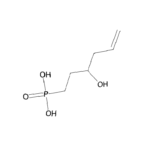 C=CCC(O)CCP(=O)(O)O